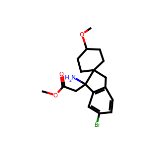 COC(=O)CC1(N)c2cc(Br)ccc2CC12CCC(OC)CC2